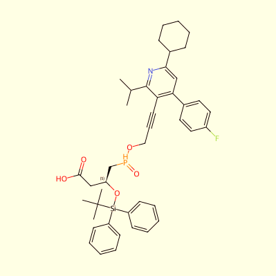 CC(C)c1nc(C2CCCCC2)cc(-c2ccc(F)cc2)c1C#CCO[PH](=O)C[C@H](CC(=O)O)O[Si](c1ccccc1)(c1ccccc1)C(C)(C)C